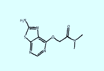 CN(C)C(=O)COc1ncnc2sc(N)nc12